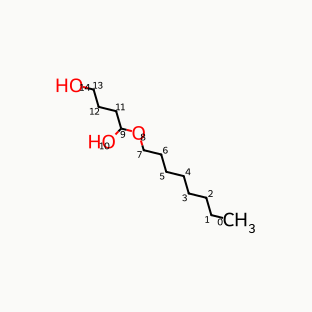 CCCCCCCCOC(O)CCCO